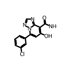 [NH]C(=O)c1c(O)cc(-c2cccc(Cl)c2)n2ncnc12